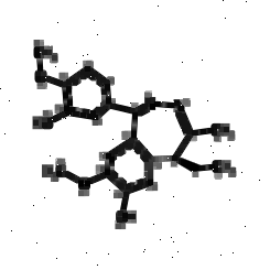 CC[C@@H]1C(C)=NN=C(c2ccc(OC)c(O)c2)c2cc(OC)c(O)cc21